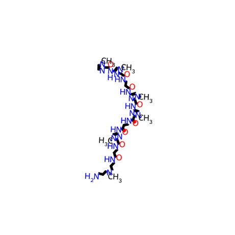 CN(CCCN)CCCNC(=O)CCNC(=O)c1nc(NC(=O)CCNC(=O)c2nc(NC(=O)c3nc(NC(=O)CCNC(=O)c4nc(NC(=O)c5nccn5C)cn4C)cn3C)cn2C)cn1C